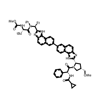 CC[C@@H](c1nc2ccc3cc(-c4ccc5c(ccc6nc([C@@H]7C[C@H](COC)CN7C(=O)[C@H](NC(=O)C7CC7)c7ccccc7)[nH]c65)c4)ccc3c2[nH]1)N(C(=O)[C@@H](NC(=O)OC)C(C)(C)C)C(C)C